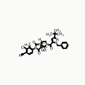 Cc1c(N2C(=O)[C@@H]3[C@@H]4C[C@@H](CN4C(=O)c4cc(C(C)(C)C)nn4Cc4ccccc4)N3C2=O)ccc(C#N)c1Cl